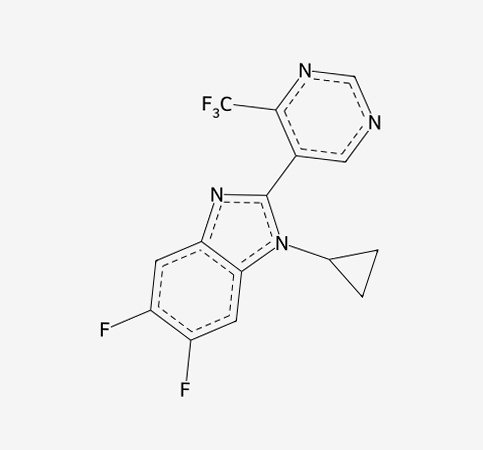 Fc1cc2nc(-c3cncnc3C(F)(F)F)n(C3CC3)c2cc1F